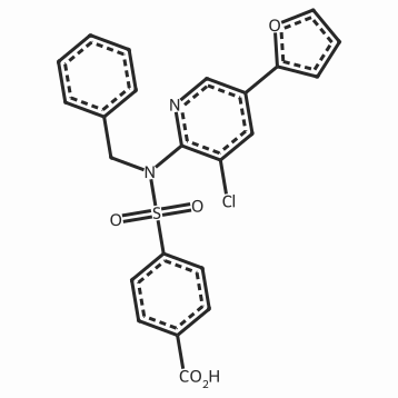 O=C(O)c1ccc(S(=O)(=O)N(Cc2ccccc2)c2ncc(-c3ccco3)cc2Cl)cc1